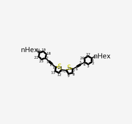 CCCCCCc1ccc(C#Cc2ccc(-c3ccc(C#Cc4ccc(CCCCCC)cc4)s3)s2)cc1